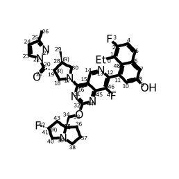 CCc1c(F)ccc2cc(O)cc(-c3ncc4c(N5C[C@H](C(=O)n6ccc(C)n6)[C@@H](C)C5)nc(OC[C@@]56CCCN5C[C@H](F)C6)nc4c3F)c12